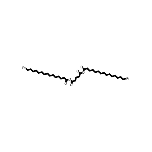 CC(C)CCCCCCCCCCCCCCC(=O)OC(=O)CCCC(=O)OC(=O)CCCCCCCCCCCCCCC(C)C